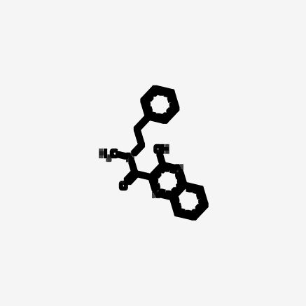 CN(CCc1ccccc1)C(=O)c1nc2ccccc2nc1O